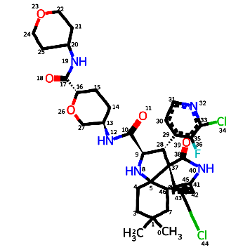 CC1(C)CCC2(CC1)N[C@@H](C(=O)N[C@@H]1CC[C@@H](C(=O)NC3CCOCC3)OC1)[C@H](c1ccnc(Cl)c1F)[C@]21C(=O)Nc2cc(Cl)ccc21